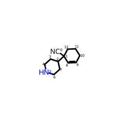 N#CC1(C2CCNCC2)C=CCCC1